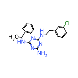 C[C@H](Nc1nc(N)nc(NCCc2cccc(Cl)c2)n1)c1ccccc1